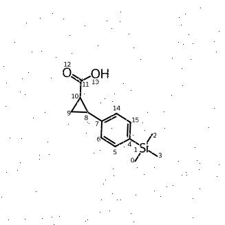 C[Si](C)(C)c1ccc(C2CC2C(=O)O)cc1